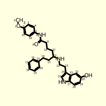 COc1ccc(NC(=O)CCCC(CCc2ccccc2)NCCc2c[nH]c3ccc(O)cc23)cc1